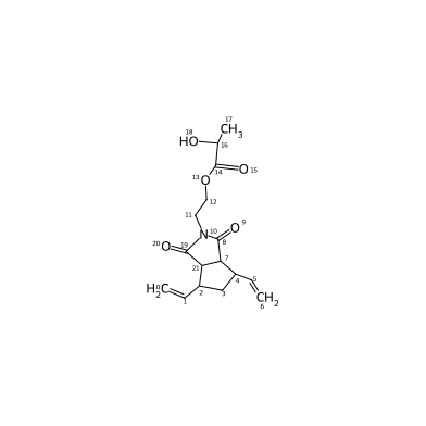 C=CC1CC(C=C)C2C(=O)N(CCOC(=O)C(C)O)C(=O)C12